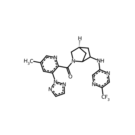 Cc1cnc(C(=O)N2C[C@H]3CC(Nc4cnc(C(F)(F)F)cn4)C2C3)c(-n2nccn2)c1